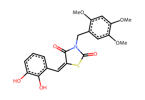 COc1cc(OC)c(OC)cc1CN1C(=O)SC(=Cc2cccc(O)c2O)C1=O